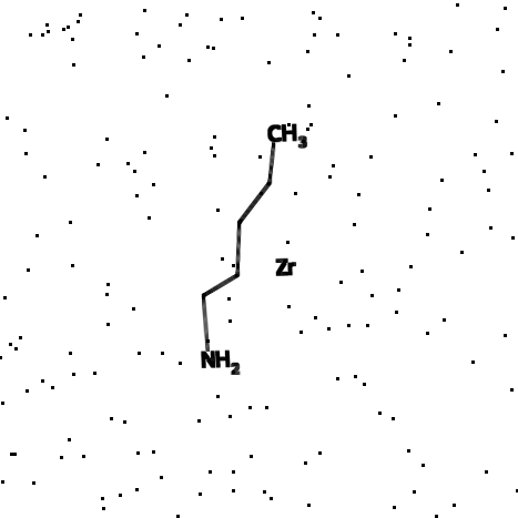 CCCCCN.[Zr]